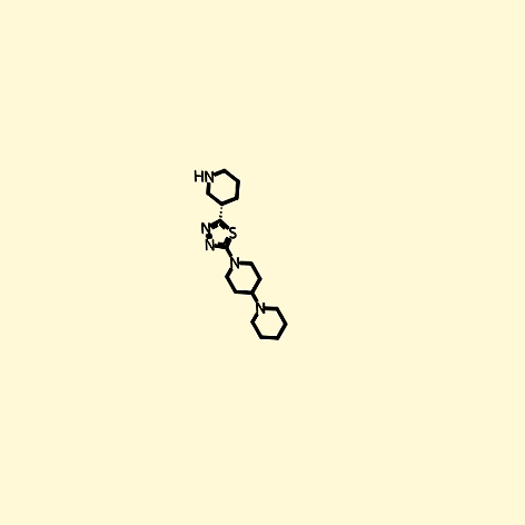 C1CCN(C2CCN(c3nnc([C@H]4CCCNC4)s3)CC2)CC1